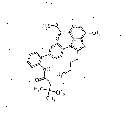 CCCCc1nc2c(C)ccc(C(=O)OC)c2n1-c1ccc(-c2ccccc2NC(=O)OC(C)(C)C)cc1